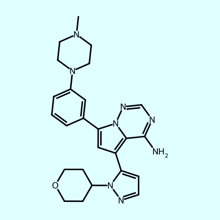 CN1CCN(c2cccc(-c3cc(-c4ccnn4C4CCOCC4)c4c(N)ncnn34)c2)CC1